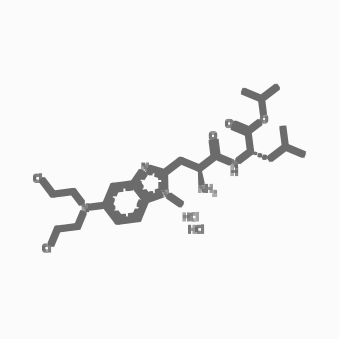 CC(C)C[C@H](NC(=O)[C@@H](N)Cc1nc2cc(N(CCCl)CCCl)ccc2n1C)C(=O)OC(C)C.Cl.Cl